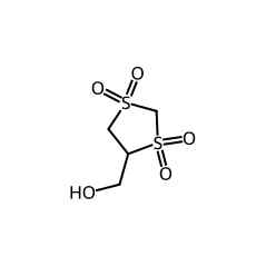 O=S1(=O)CC(CO)S(=O)(=O)C1